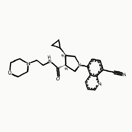 N#Cc1ccc(N2C[C@H](C(=O)NCCN3CCOCC3)[C@@H](C3CC3)C2)c2cccnc12